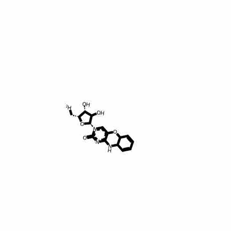 [2H]C[C@H]1O[C@@H](n2cc3c(nc2=O)NC2C=CC=CC2O3)C(O)[C@H]1O